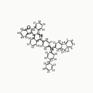 CC1(C)c2ccccc2-c2ccc(N(c3ccc(-c4ccccc4)cc3)c3ccc(-c4nc5c6ccccc6c6oc7ccccc7c6c5c5ccccc45)cc3)cc21